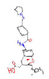 CCC1Oc2ccc(NC(=O)c3ccc(C=NN4CCCCC4)cc3)cc2CC1CC(=O)O